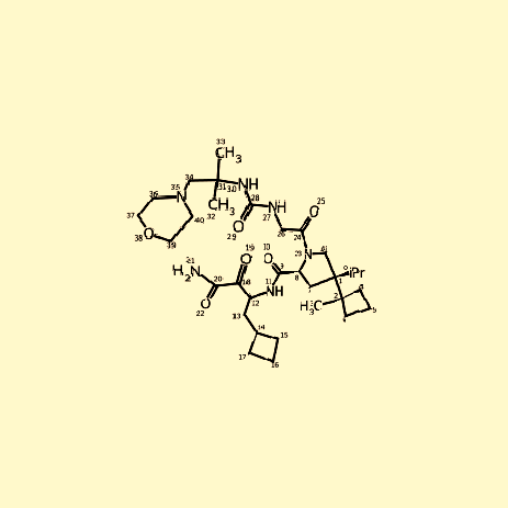 CC(C)[C@@]1(C2(C)CCC2)C[C@@H](C(=O)NC(CC2CCC2)C(=O)C(N)=O)N(C(=O)CNC(=O)NC(C)(C)CN2CCOCC2)C1